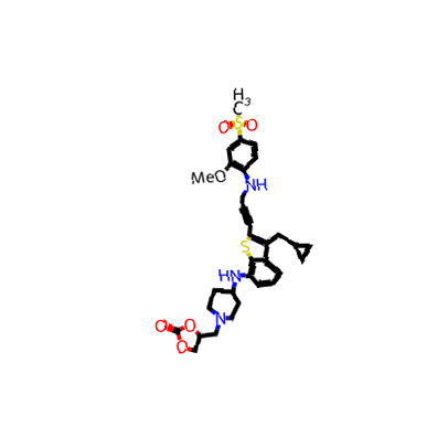 COc1cc(S(C)(=O)=O)ccc1NCC#Cc1sc2c(NC3CCN(CC4COC(=O)O4)CC3)cccc2c1CC1CC1